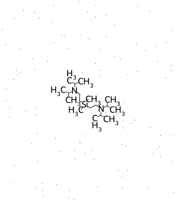 CC(C)N(CC[Si](C)(C)CCN(C(C)C)C(C)C)C(C)C